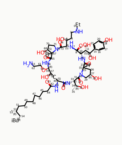 CCNCC[C@@H](O)[C@@H]1NC(=O)[C@H]([C@H](O)[C@@H](O)c2ccc(O)cc2)NC(=O)[C@@H]2C[C@@H](O)CN2C(=O)[C@H]([C@@H](C)O)NC(=O)[C@@H](NC(=O)CCCCCCCC[C@@H](C)C[C@@H](C)CC)C[C@@H](O)[C@@H](OCCN)NC(=O)[C@@H]2[C@@H](O)CCN2C1=O